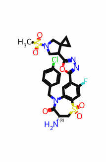 CS(=O)(=O)N1CC(c2nnc(-c3cc4c(cc3F)S(=O)(=O)C[C@H](N)C(=O)N4Cc3ccc(Cl)cc3)o2)C2(CC2)C1